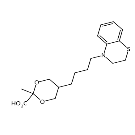 CC1(C(=O)O)OCC(CCCCN2CCSc3ccccc32)CO1